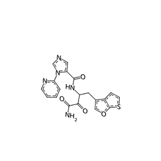 NC(=O)C(=O)C(Cc1coc2sccc12)NC(=O)c1cncn1-c1ccccn1